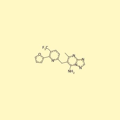 Cc1nc2ncnn2c(N)c1Cc1ccc(C(F)(F)F)c(-c2ccco2)n1